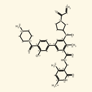 C=CC(=O)N1CCC(N(CC)c2cc(-c3ccc(C(=O)N4CCN(C)CC4)c(Cl)c3)cc(C(=O)NCc3c(C)cc(C)[nH]c3=O)c2C)C1